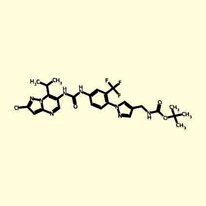 CC(C)c1c(NC(=O)Nc2ccc(-n3cc(CNC(=O)OC(C)(C)C)cn3)c(C(F)(F)F)c2)cnc2cc(Cl)nn12